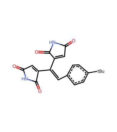 CC(C)(C)c1ccc(C=C(C2=CC(=O)NC2=O)C2=CC(=O)NC2=O)cc1